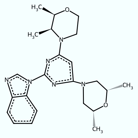 C[C@@H]1CN(c2cc(N3CCO[C@H](C)[C@@H]3C)nc(-n3cnc4ccccc43)n2)C[C@H](C)O1